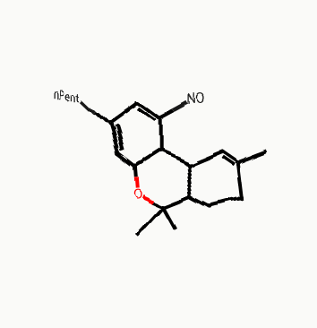 CCCCCC1=CC2OC(C)(C)C3CCC(C)=CC3C2C(N=O)=C1